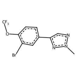 Cn1ncc(-c2ccc(OC(F)(F)F)c(Br)c2)n1